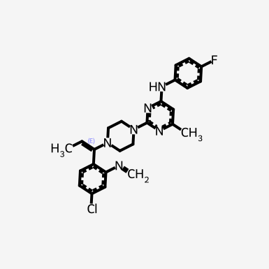 C=Nc1cc(Cl)ccc1/C(=C\C)N1CCN(c2nc(C)cc(Nc3ccc(F)cc3)n2)CC1